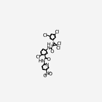 O=C(Nc1ccc([N+](=O)[O-])cn1)c1cc(NC(=O)[C@H]2[C@H](c3cc(Cl)cc(Cl)c3)C2(Cl)Cl)ccc1Cl